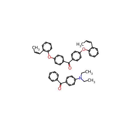 C/C=C\c1ccccc1Oc1ccc(C(=O)c2ccc(Oc3ccccc3/C=C\C)cc2)cc1.CCN(CC)c1ccc(C(=O)c2ccccc2)cc1